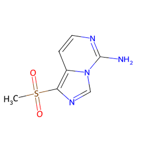 CS(=O)(=O)c1ncn2c(N)nccc12